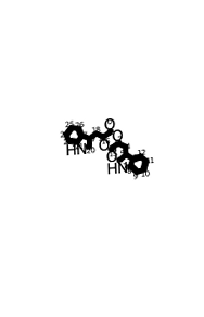 O=C1OC(CC2CNc3ccccc32)C(=O)OC1CC1CNc2ccccc21